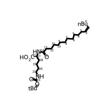 CCCC/C=C\CCCCCCCCCCCC(=O)N[C@@H](CCCCNC(=O)OC(C)(C)C)C(=O)O